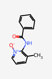 Cc1ccc[n+]([O-])c1NC(=O)c1ccccc1